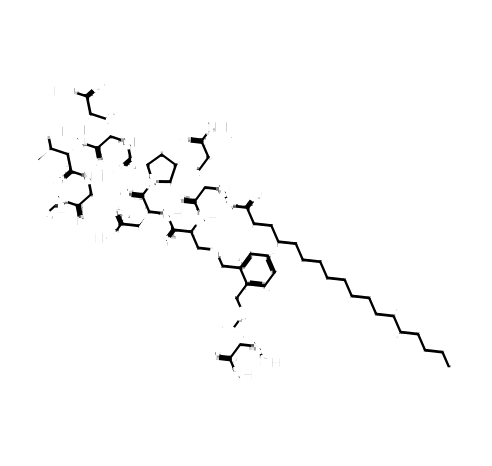 CCCCCCCCCCCCCCCCCC(=O)NN[C@@H](CCC(N)=O)C(=O)NC(CSCc1ccccc1CSC[C@H](NO)C(N)=O)C(=O)N[C@@H](CC(=O)O)C(=O)N1CCC[C@H]1C(=O)N[C@@H](CCC(=O)O)C(=O)N[C@H](C(=O)NCC(=O)NC)[C@@H](C)O